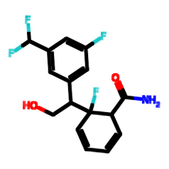 NC(=O)C1C=CC=CC1(F)C(CO)c1cc(F)cc(C(F)F)c1